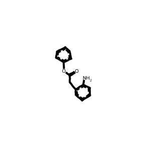 Nc1ccccc1CC(=O)Oc1ccccc1